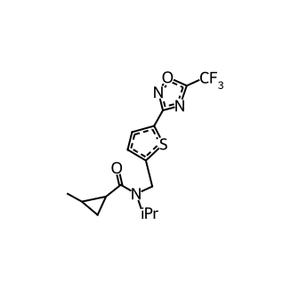 CC1CC1C(=O)N(Cc1ccc(-c2noc(C(F)(F)F)n2)s1)C(C)C